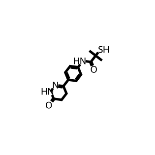 CC(C)(S)C(=O)Nc1ccc(C2=NNC(=O)CC2)cc1